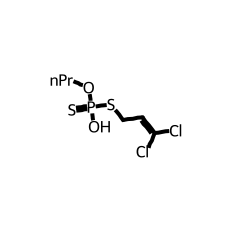 CCCOP(O)(=S)SCC=C(Cl)Cl